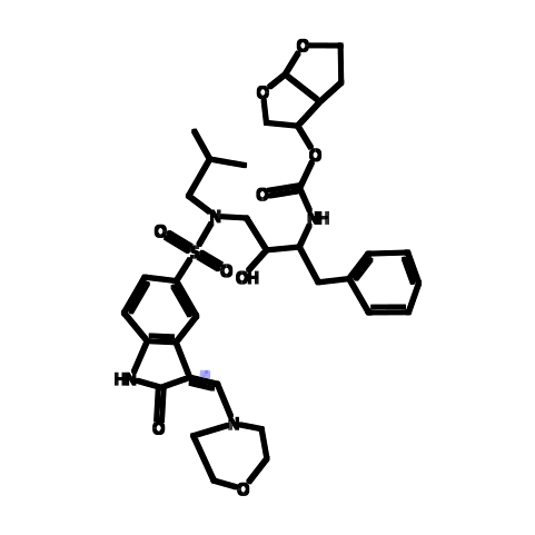 CC(C)CN(CC(O)C(Cc1ccccc1)NC(=O)OC1COC2OCCC12)S(=O)(=O)c1ccc2c(c1)/C(=C/N1CCOCC1)C(=O)N2